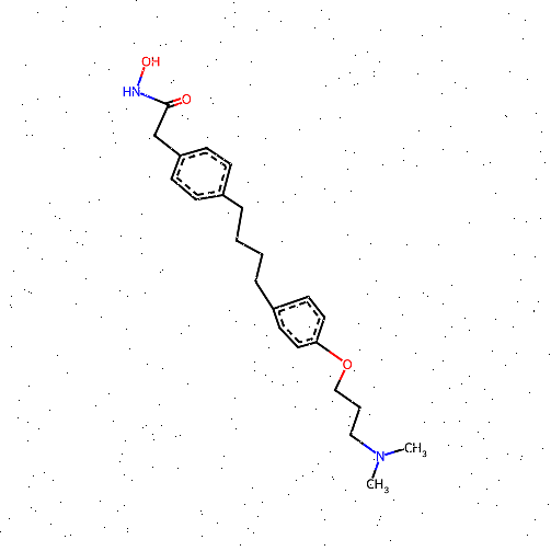 CN(C)CCCOc1ccc(CCCCc2ccc(CC(=O)NO)cc2)cc1